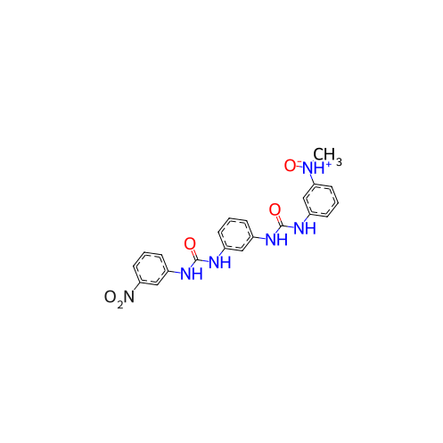 C[NH+]([O-])c1cccc(NC(=O)Nc2cccc(NC(=O)Nc3cccc([N+](=O)[O-])c3)c2)c1